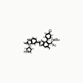 CC(=O)[C@@H](OC(C)(C)C)c1c(C)cc2nc(-c3ccc4nc(C)n([C@H]5CCNC5)c4c3)sc2c1-c1ccc(Cl)cc1